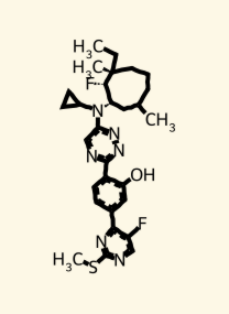 CC[C@]1(C)CCCC(C)C[C@H](N(c2cnc(-c3ccc(-c4nc(SC)ncc4F)cc3O)nn2)C2CC2)[C@@H]1F